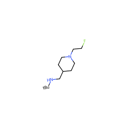 CC(C)(C)NCC1CCN(CCF)CC1